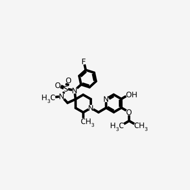 CC(C)Oc1cc(CN2CCC3(CC2C)CN(C)S(=O)(=O)N3c2cccc(F)c2)ncc1O